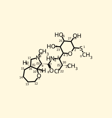 CSC1OC([C@H](NC(=O)[C@@H]2[C@@H]3OCCCC[C@H]3CN2C)[C@H](C)Cl)C(O)C(O)C1O